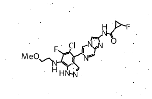 COCCNc1c(F)c(Cl)c(-c2cn3cc(NC(=O)C4CC4F)nc3cn2)c2cn[nH]c12